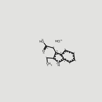 CCc1[nH]c2ccccc2c1CC(=O)O.Cl